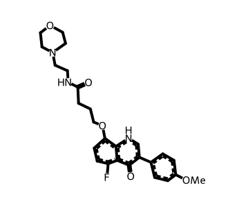 COc1ccc(-c2c[nH]c3c(OCCCC(=O)NCCN4CCOCC4)ccc(F)c3c2=O)cc1